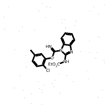 CCOC(=O)Nc1nc2ccccc2n1C(=N)Oc1cc(C)ccc1Cl